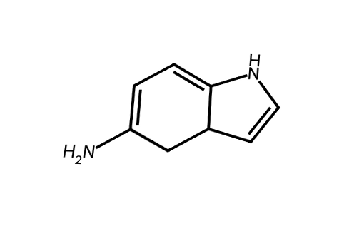 NC1=CC=C2NC=CC2C1